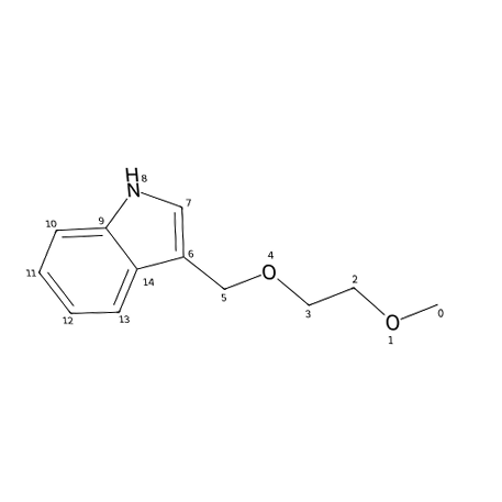 COCCOCc1c[nH]c2ccccc12